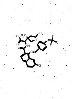 CCCC(C)(CC)C(NC(=O)c1ccc2ccc(Cl)cc2c1OCc1ccc(OC(F)(F)F)cc1)C(=O)O